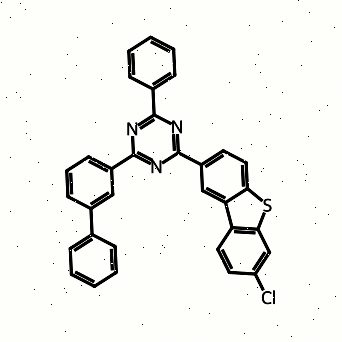 Clc1ccc2c(c1)sc1ccc(-c3nc(-c4ccccc4)nc(-c4cccc(-c5ccccc5)c4)n3)cc12